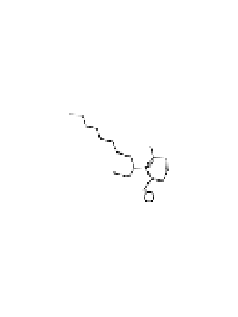 CCCCCCCCC(CC)c1c(C)cccc1C=O